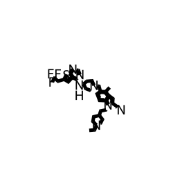 CCN1CCC(CCn2c(C#N)cc3c(C)c(CN4CCC(Nc5ncnc6sc(CC(F)(F)F)cc56)CC4)ccc32)CC1